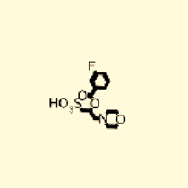 O=C(OC(CN1CCOCC1)CS(=O)(=O)O)c1cccc(F)c1